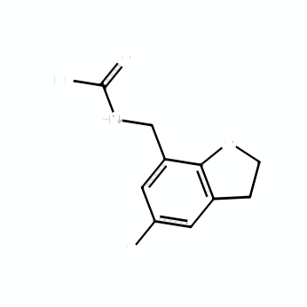 CC(=O)NCc1cc(Br)cc2c1OCC2